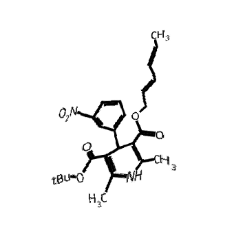 CC=CC=CCOC(=O)C1=C(C)NC(C)=C(C(=O)OC(C)(C)C)C1c1cccc([N+](=O)[O-])c1